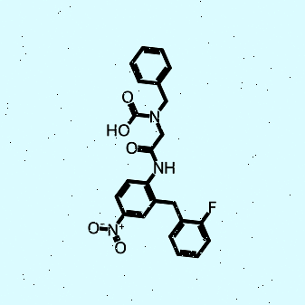 O=C(CN(Cc1ccccc1)C(=O)O)Nc1ccc([N+](=O)[O-])cc1Cc1ccccc1F